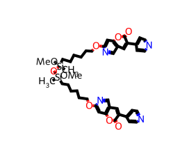 CO[Si](C)(CCCCCCOc1cc2oc(=O)c(-c3ccncc3)cc2cn1)O[Si](C)(CCCCCCOc1cc2oc(=O)c(-c3ccncc3)cc2cn1)OC